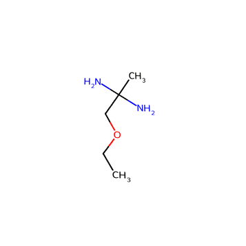 CCOCC(C)(N)N